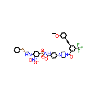 CCOc1cccc(C#Cc2cc(C(=O)N3CCN(c4ccc(C(=O)NS(=O)(=O)c5ccc(NCCSc6ccccc6)c([N+](=O)[O-])c5)cc4)CC3)cc(C(F)(F)F)c2)c1